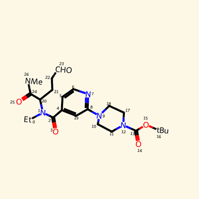 CCN(C(=O)c1ccnc(N2CCN(C(=O)OC(C)(C)C)CC2)c1)C(CCC=O)C(=O)NC